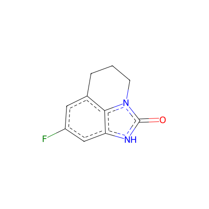 O=c1[nH]c2cc(F)cc3c2n1CCC3